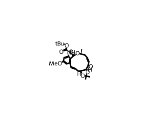 COc1cc2c(c(NC(=O)OC(C)(C)C)c1)C(=O)O[C@@H](C)C/C=C\C(=O)[C@H]1OC(C)(C)O[C@H]1C/C=C/2